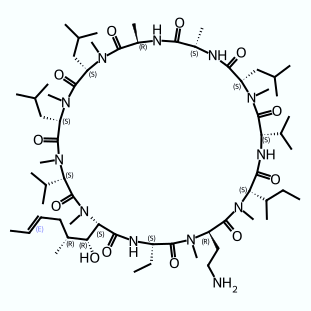 C/C=C/C[C@@H](C)[C@@H](O)[C@H]1C(=O)N[C@@H](CC)C(=O)N(C)[C@H](CCN)C(=O)N(C)[C@@H](C(C)CC)C(=O)N[C@@H](C(C)C)C(=O)N(C)[C@@H](CC(C)C)C(=O)N[C@@H](C)C(=O)N[C@H](C)C(=O)N(C)[C@@H](CC(C)C)C(=O)N(C)[C@@H](CC(C)C)C(=O)N(C)[C@@H](C(C)C)C(=O)N1C